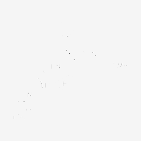 CCCCOC(=O)N1CCN(C(=O)C(NC(=O)c2cc(N3CCC(OC)C3)cc(-c3ccccc3)n2)P(=O)(O)O)CC1